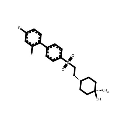 C[C@]1(O)CC[C@H](CCS(=O)(=O)c2ccc(-c3ccc(F)cc3F)cc2)CC1